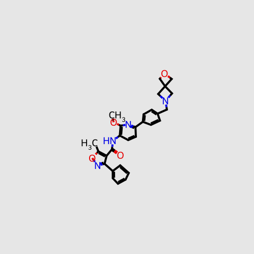 COc1nc(-c2ccc(CN3CC4(COC4)C3)cc2)ccc1NC(=O)c1c(-c2ccccc2)noc1C